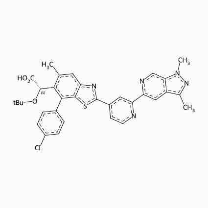 Cc1cc2nc(-c3ccnc(-c4cc5c(C)nn(C)c5cn4)c3)sc2c(-c2ccc(Cl)cc2)c1[C@H](OC(C)(C)C)C(=O)O